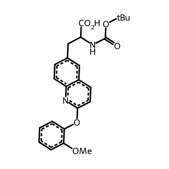 COc1ccccc1Oc1ccc2cc(CC(NC(=O)OC(C)(C)C)C(=O)O)ccc2n1